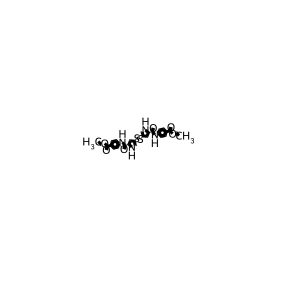 CCOC(=O)c1ccc(NC(=O)[C@@H]2C[C@H](SS[C@@H]3CN[C@H](C(=O)Nc4ccc(C(=O)OCC)cc4)C3)CN2)cc1